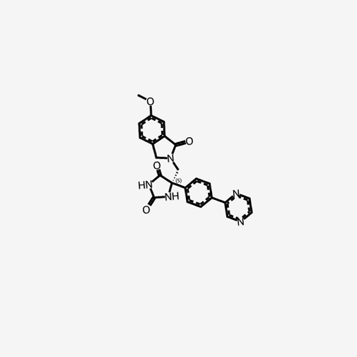 COc1ccc2c(c1)C(=O)N(C[C@]1(c3ccc(-c4cnccn4)cc3)NC(=O)NC1=O)C2